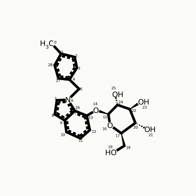 Cc1ccc(Cn2ccc3cccc(O[C@@H]4O[C@H](CO)[C@@H](O)[C@H](O)[C@H]4O)c32)cc1